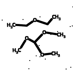 CCOCC.COC(OC)OC